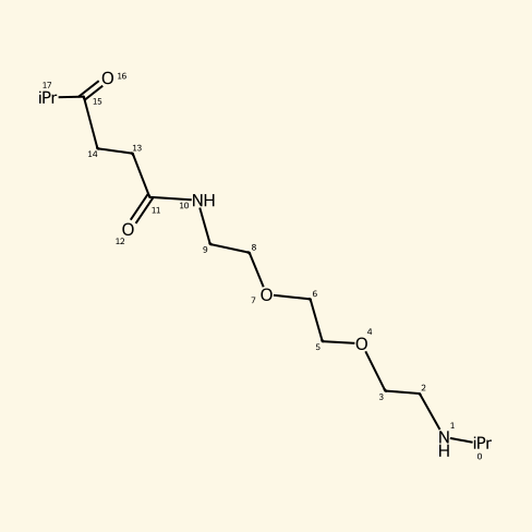 CC(C)NCCOCCOCCNC(=O)CCC(=O)C(C)C